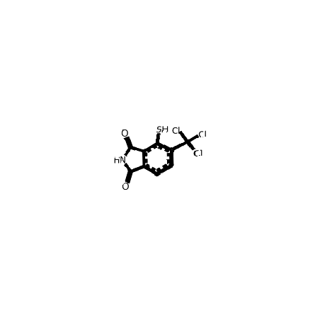 O=C1NC(=O)c2c1ccc(C(Cl)(Cl)Cl)c2S